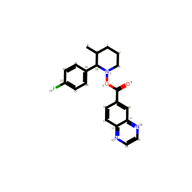 CC1CCCN(OC(=O)c2ccc3nccnc3c2)C1c1ccc(F)cc1